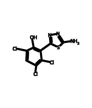 Nc1nnc(-c2c(O)c(Cl)cc(Cl)c2Cl)s1